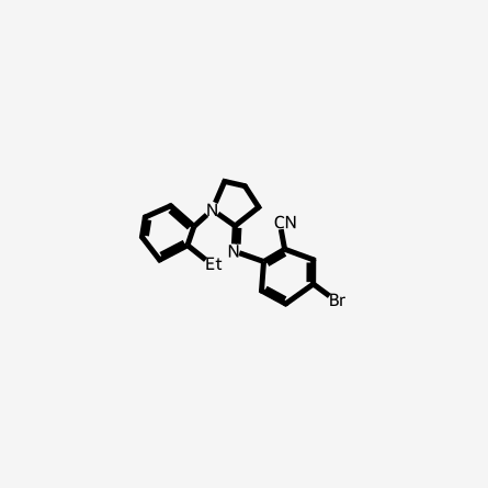 CCc1ccccc1N1CCCC1=Nc1ccc(Br)cc1C#N